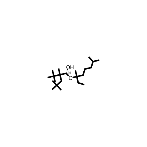 CCC(C)(CCCC(C)C)O[C@@H](O)C(C)(CC(C)(C)C)C(C)(C)C